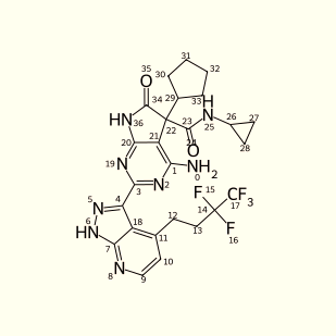 Nc1nc(-c2n[nH]c3nccc(CCC(F)(F)C(F)(F)F)c23)nc2c1C(C(=O)NC1CC1)(C1CCCC1)C(=O)N2